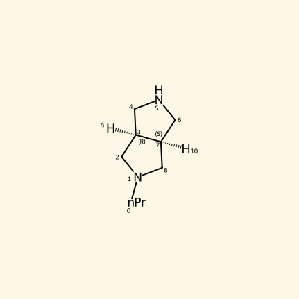 CCCN1C[C@H]2CNC[C@H]2C1